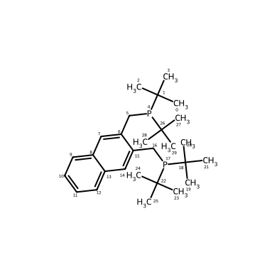 CC(C)(C)P(Cc1cc2ccccc2cc1CP(C(C)(C)C)C(C)(C)C)C(C)(C)C